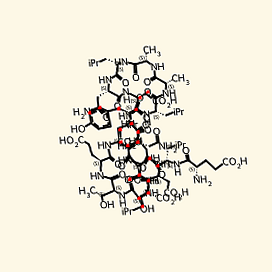 CC(C)C[C@H](NC(=O)[C@H](C)NC(=O)[C@H](C)NC(=O)[C@H](CC(C)C)NC(=O)[C@H](Cc1ccc(O)cc1)NC(=O)[C@H](CC(N)=O)NC(=O)[C@H](CC(C)C)NC(=O)[C@H](CC(C)C)NC(=O)[C@@H](N)CCC(=O)O)C(=O)N[C@@H](CC(N)=O)C(=O)N[C@@H](CC(=O)O)C(=O)N[C@@H](CC(=O)O)C(=O)NCC(=O)N[C@@H](CC(=O)O)C(=O)N[C@@H](CC(C)C)C(=O)N[C@H](C(=O)N[C@@H](CCC(=O)O)C(=O)N[C@@H](CC(C)C)C(=O)NCC(=O)N[C@@H](CO)C(=O)O)[C@@H](C)O